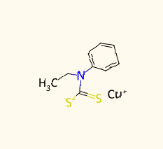 CCN(C(=S)[S-])c1ccccc1.[Cu+]